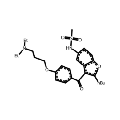 CCCCc1oc2ccc(NS(C)(=O)=O)cc2c1C(=O)c1ccc(OCCCN(CC)CC)cc1